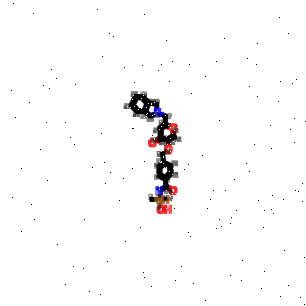 C[SH](C)(O)=NC(=O)c1ccc(COc2coc(CN3Cc4ccccc4C3)cc2=O)cc1